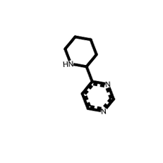 c1cc(C2CCCCN2)ncn1